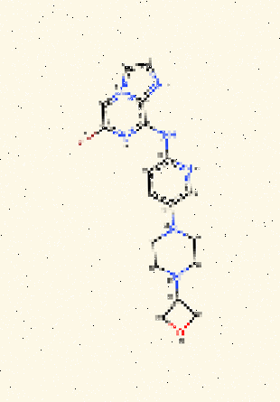 Brc1cn2ccnc2c(Nc2ccc(N3CCN(C4COC4)CC3)cn2)n1